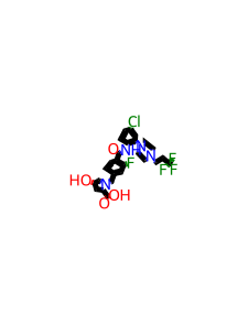 O=C(Nc1ccc(Cl)cc1N1CCN(CCC(F)(F)F)CC1)c1ccc(CN2CC(O)CC2C(=O)O)cc1F